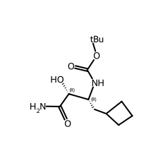 CC(C)(C)OC(=O)N[C@H](CC1CCC1)[C@@H](O)C(N)=O